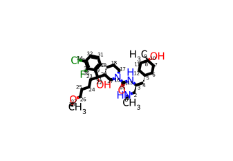 CNC[C@H](C[C@H]1CC[C@@](C)(O)CC1)NC(=O)N1CCC[C@@H]([C@@](O)(CCCCOC)c2cccc(Cl)c2F)C1